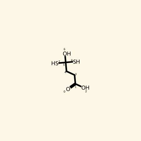 O=C(O)CCC(O)(S)S